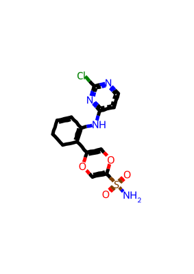 NS(=O)(=O)C1=COC(C2=C(Nc3ccnc(Cl)n3)C=CCC2)=CO1